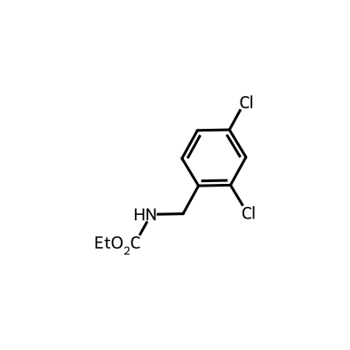 CCOC(=O)NCc1ccc(Cl)cc1Cl